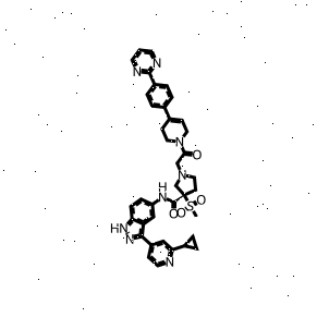 CS(=O)(=O)[C@@]1(C(=O)Nc2ccc3[nH]nc(-c4ccnc(C5CC5)c4)c3c2)CCN(CC(=O)N2CC=C(c3ccc(-c4ncccn4)cc3)CC2)C1